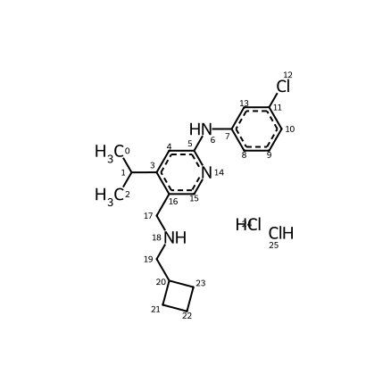 CC(C)c1cc(Nc2cccc(Cl)c2)ncc1CNCC1CCC1.Cl.Cl